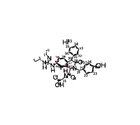 CCN=C(NCC)NCCC[C@H](C(=O)NCC(=O)O)N(Cc1ccc(O)cc1)C(=O)C(c1ccccc1)c1ccccc1.I